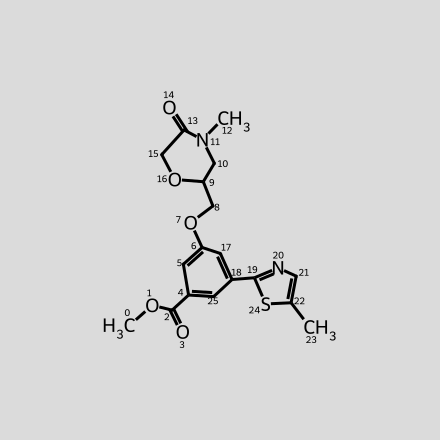 COC(=O)c1cc(OCC2CN(C)C(=O)CO2)cc(-c2ncc(C)s2)c1